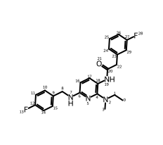 CCN(C)c1nc(NCc2ccc(F)cc2)ccc1NC(=O)Cc1cccc(F)c1